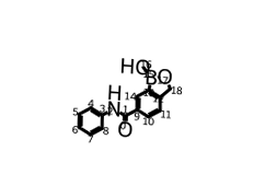 O=C(Nc1ccccc1)c1ccc2c(c1)B(O)OC2